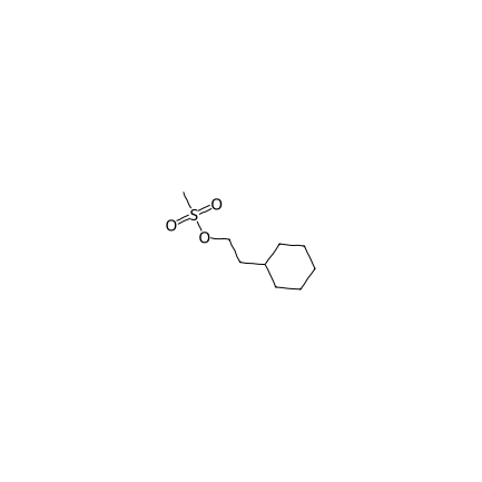 CS(=O)(=O)OCCC1CCCCC1